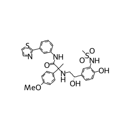 COc1ccc(C(C)(NC[C@@H](O)c2ccc(O)c(NS(C)(=O)=O)c2)C(=O)Nc2cccc(-c3nccs3)c2)cc1